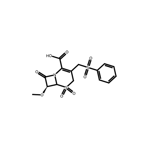 CO[C@H]1C(=O)N2C(C(=O)O)=C(CS(=O)(=O)c3ccccc3)CS(=O)(=O)C12